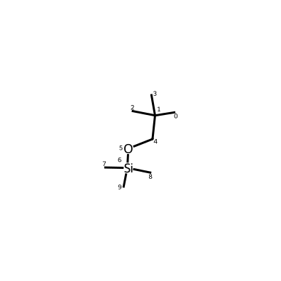 CC(C)(C)CO[Si](C)(C)C